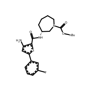 CCCCOC(=O)N1CCCC[C@@H](NC(=O)c2sc(-c3cccc(F)c3)cc2N)C1